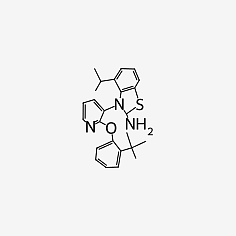 CC(C)c1cccc2c1N(c1cccnc1Oc1ccccc1C(C)(C)C)C(N)S2